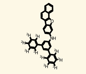 [2H]c1c([2H])c([2H])c(-c2cc(Nc3ccc4c(c3)oc3c5ccccc5ccc43)cc(-c3c([2H])c([2H])c([2H])c([2H])c3[2H])c2)c([2H])c1[2H]